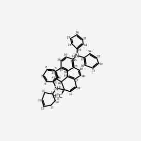 CC1(N(c2ccccc2)C2CC=CCC2)C=Cc2ccc3c(N(c4ccccc4)c4ccccc4)ccc4c3c2C1C=C4